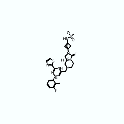 Cc1c(F)cccc1[C@@H]1C=C(CN2CCN3C(=O)N(C45CC(NS(C)(=O)=O)(C4)C5)C[C@@H]3C2)NC(c2nccs2)=N1